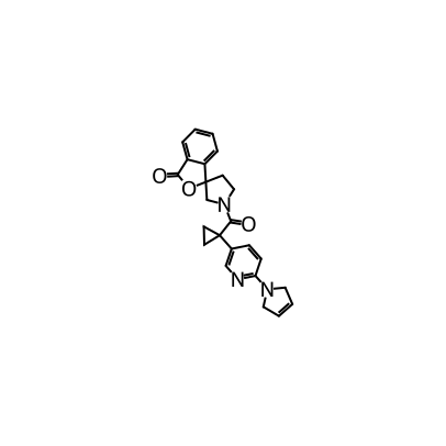 O=C1OC2(CCN(C(=O)C3(c4ccc(N5CC=CC5)nc4)CC3)C2)c2ccccc21